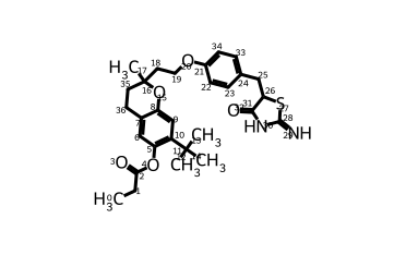 CCC(=O)Oc1cc2c(cc1C(C)(C)C)OC(C)(CCOc1ccc(CC3SC(=N)NC3=O)cc1)CC2